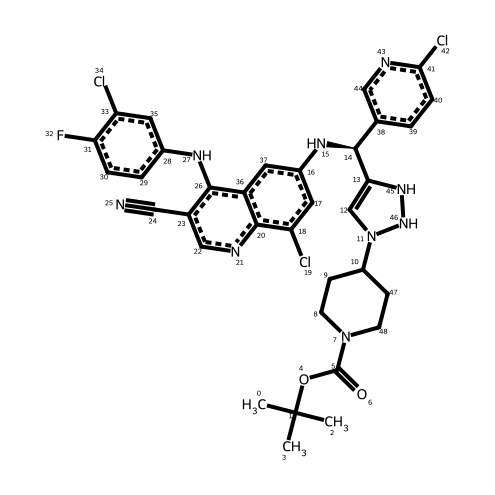 CC(C)(C)OC(=O)N1CCC(N2C=C([C@@H](Nc3cc(Cl)c4ncc(C#N)c(Nc5ccc(F)c(Cl)c5)c4c3)c3ccc(Cl)nc3)NN2)CC1